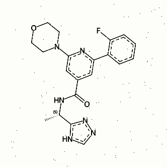 C[C@H](NC(=O)c1cc(-c2ccccc2F)nc(N2CCOCC2)c1)c1nnc[nH]1